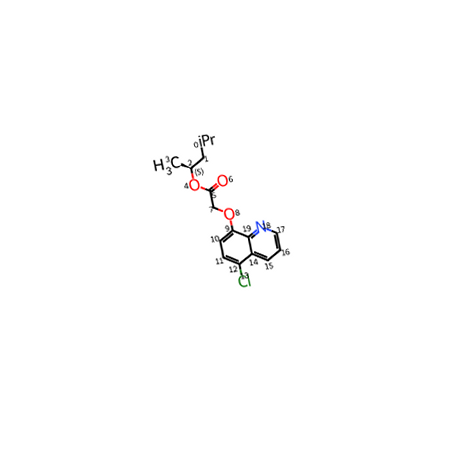 CC(C)C[C@H](C)OC(=O)COc1ccc(Cl)c2cccnc12